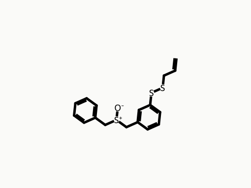 C=CCSSc1cccc(C[S+]([O-])Cc2ccccc2)c1